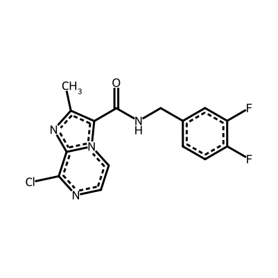 Cc1nc2c(Cl)nccn2c1C(=O)NCc1ccc(F)c(F)c1